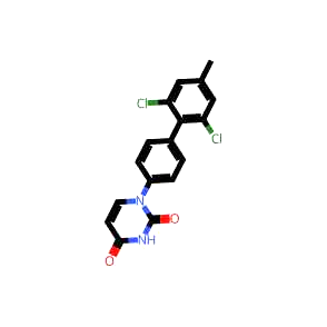 Cc1cc(Cl)c(-c2ccc(-n3ccc(=O)[nH]c3=O)cc2)c(Cl)c1